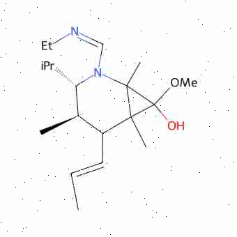 CC=CC1[C@@H](C)[C@H](C(C)C)N(/C=N\CC)C2(C)C(O)(OC)C12C